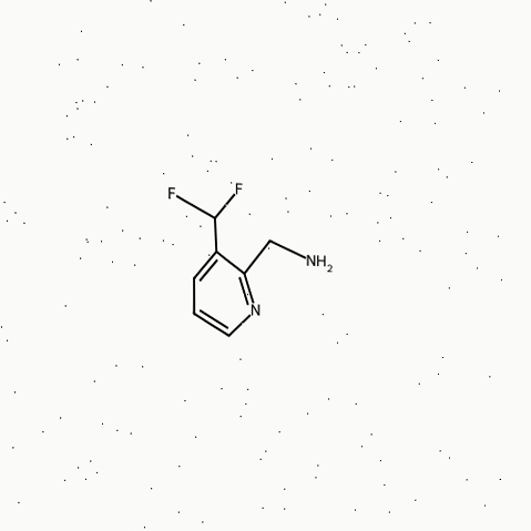 NCc1ncccc1C(F)F